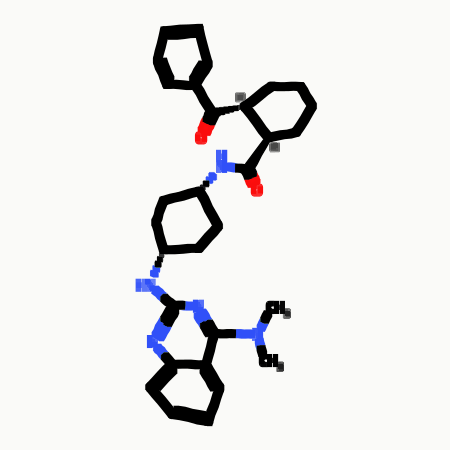 CN(C)c1nc(N[C@H]2CC[C@@H](NC(=O)[C@@H]3CCCC[C@H]3C(=O)c3ccccc3)CC2)nc2ccccc12